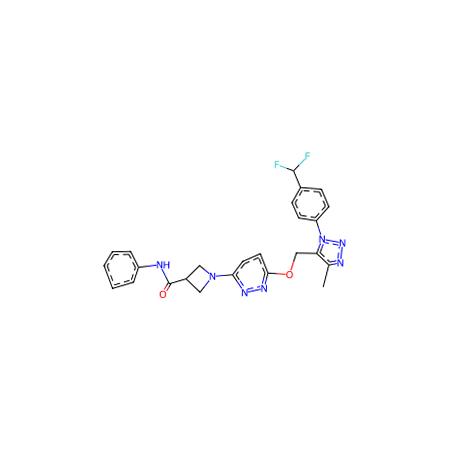 Cc1nnn(-c2ccc(C(F)F)cc2)c1COc1ccc(N2CC(C(=O)Nc3ccccc3)C2)nn1